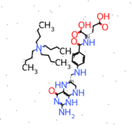 CCCC[N+](CCCC)(CCCC)CCCC.Nc1nc(=O)c2c([nH]1)NC[C@@H](CNc1ccc(C(=O)N[C@@H](CCC(=O)O)C(=O)O)cc1)N2